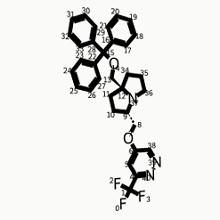 FC(F)(F)c1cc(OC[C@@H]2CC[C@]3(COC(c4ccccc4)(c4ccccc4)c4ccccc4)CCCN23)cnn1